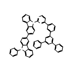 c1ccc(-c2cc(-c3ccccc3)cc(-c3cccc(-c4ccnc(-n5c6ccccc6c6cc(-c7ccc8c(c7)c7ccccc7n8-c7ccccc7)ccc65)n4)c3)c2)cc1